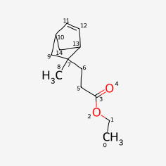 CCOC(=O)CCC1(C)CC2C=CC1C2